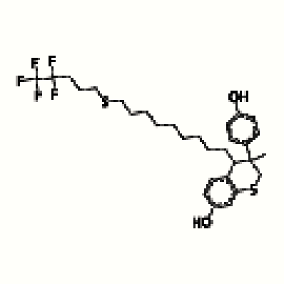 CC1(c2ccc(O)cc2)CSc2cc(O)ccc2C1CCCCCCCCCSCCCC(F)(F)C(F)(F)F